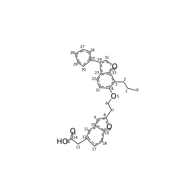 CCCc1c(OCCc2cc3cc(CC(=O)O)ccc3o2)ccc2c(-c3ccccc3)coc12